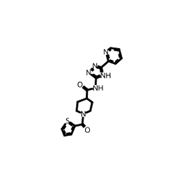 O=C(Nc1nnc(-c2ccccn2)[nH]1)C1CCN(C(=O)c2cccs2)CC1